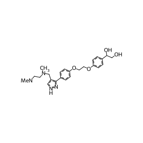 CNCCN(C)Cc1c[nH]nc1-c1ccc(OCCOc2ccc(C(O)CO)cc2)cc1